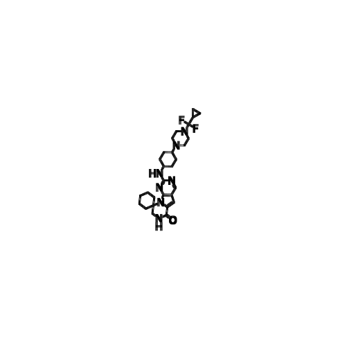 O=C1NCC2(CCCCC2)n2c1cc1cnc(NC3CCC(N4CCN(C(F)(F)C5CC5)CC4)CC3)nc12